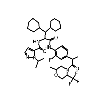 CC1CN(C(=O)C(C)c2ccc(NC(=O)C(NC(=O)c3ccnn3C(C)C)C(C3CCCCC3)C3CCCCC3)c(F)c2)C(C(F)(F)F)CO1